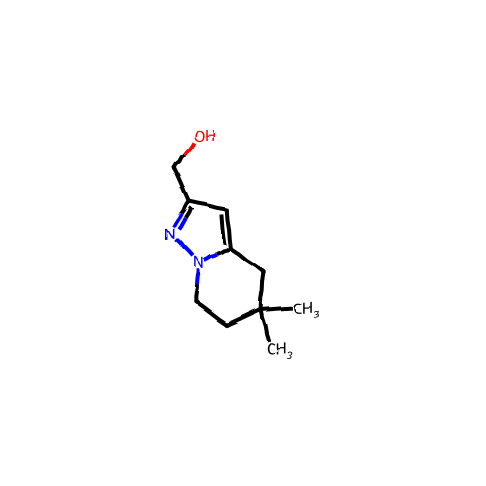 CC1(C)CCn2nc(CO)cc2C1